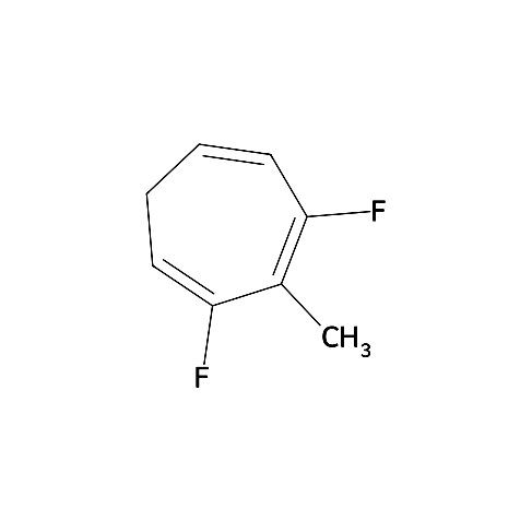 CC1=C(F)C=CCC=C1F